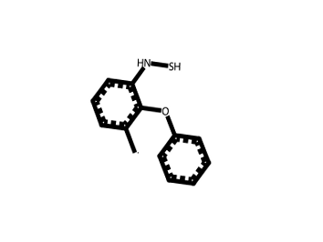 [CH2]c1cccc(NS)c1Oc1ccccc1